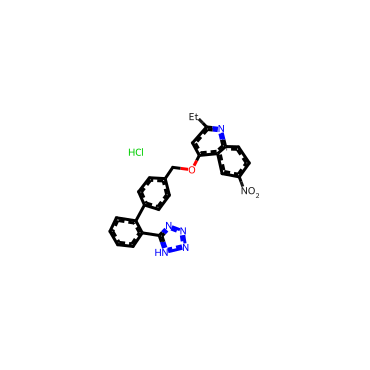 CCc1cc(OCc2ccc(-c3ccccc3-c3nnn[nH]3)cc2)c2cc([N+](=O)[O-])ccc2n1.Cl